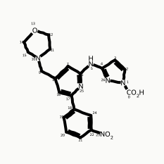 O=C(O)n1ccc(Nc2cc(CN3CCOCC3)cc(-c3cccc([N+](=O)[O-])c3)n2)n1